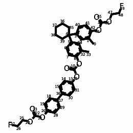 Cc1cc(C2(c3ccc(OC(=O)Oc4ccc(-c5ccc(OC(=O)OCCF)cc5)cc4)c(C)c3)CCCCC2)ccc1OC(=O)OCCF